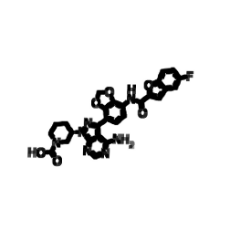 Nc1ncnc2c1c(-c1ccc(NC(=O)c3cc4cc(F)ccc4o3)c3c1OCO3)nn2[C@@H]1CCCN(C(=O)O)C1